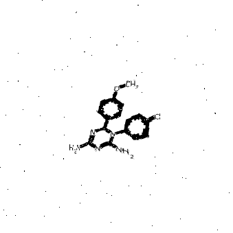 COc1ccc(C2N=C(N)N=C(N)N2c2ccc(Cl)cc2)cc1